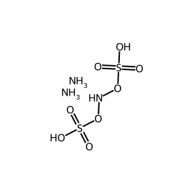 N.N.O=S(=O)(O)ONOS(=O)(=O)O